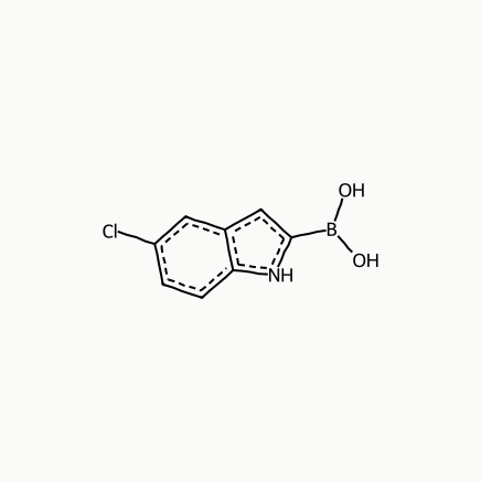 OB(O)c1cc2cc(Cl)ccc2[nH]1